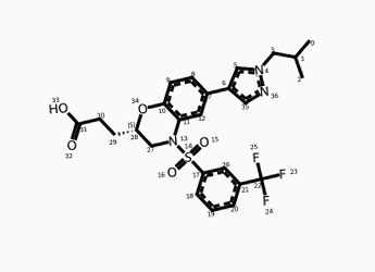 CC(C)Cn1cc(-c2ccc3c(c2)N(S(=O)(=O)c2cccc(C(F)(F)F)c2)C[C@H](CCC(=O)O)O3)cn1